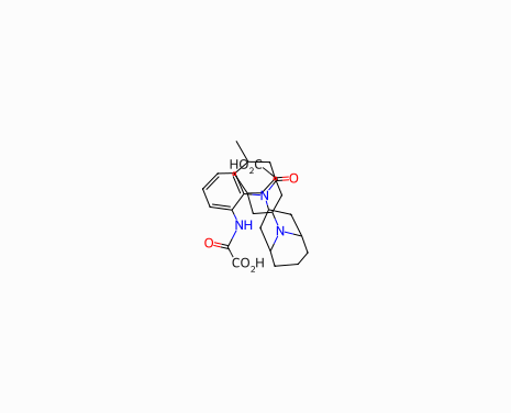 CC1CC2CC(C1)CC(N1C3CCCC1CC(N(C(=O)C(=O)O)c1ccccc1NC(=O)C(=O)O)C3)C2